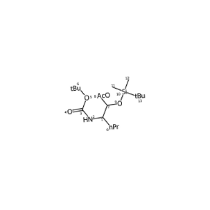 CCCC(NC(=O)OC(C)(C)C)C(OC(C)=O)O[Si](C)(C)C(C)(C)C